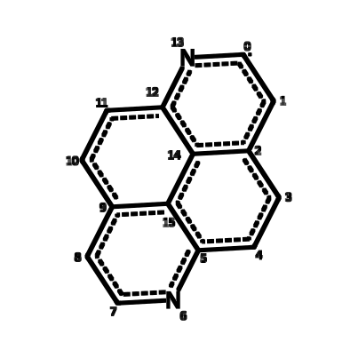 [c]1cc2ccc3nccc4ccc(n1)c2c43